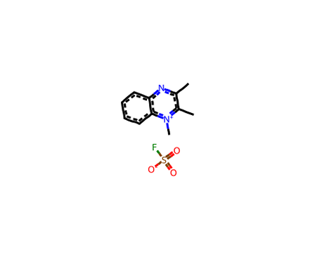 Cc1nc2ccccc2[n+](C)c1C.O=S(=O)([O-])F